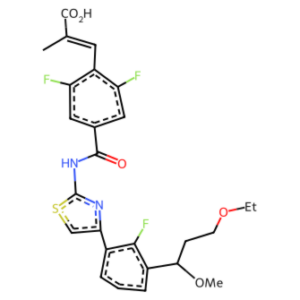 CCOCCC(OC)c1cccc(-c2csc(NC(=O)c3cc(F)c(C=C(C)C(=O)O)c(F)c3)n2)c1F